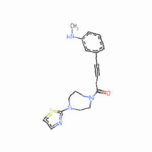 CNc1cccc(C#CC(=O)N2CCN(c3nccs3)CC2)c1